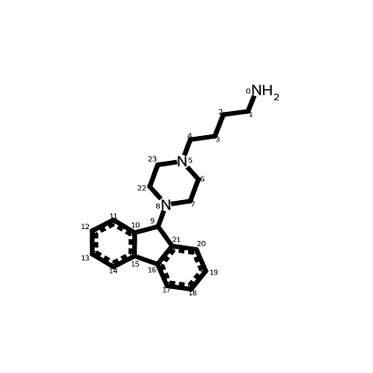 NCCCCN1CCN(C2c3ccccc3-c3ccccc32)CC1